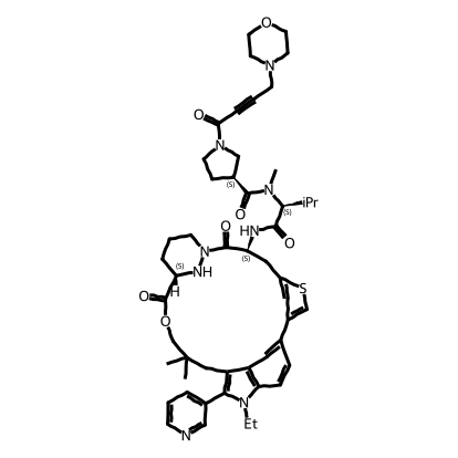 CCn1c(-c2cccnc2)c2c3cc(ccc31)-c1csc(c1)C[C@H](NC(=O)[C@H](C(C)C)N(C)C(=O)[C@H]1CCN(C(=O)C#CCN3CCOCC3)C1)C(=O)N1CCC[C@H](N1)C(=O)OCC(C)(C)C2